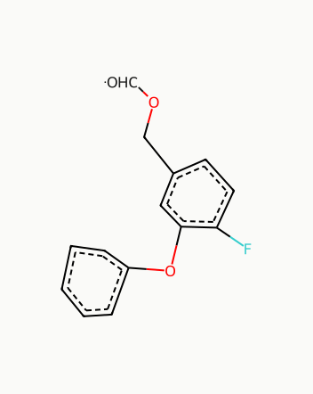 O=[C]OCc1ccc(F)c(Oc2ccccc2)c1